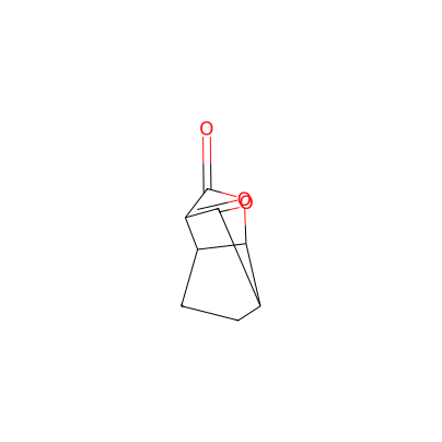 O=C1OC2C3CCC2C1C3=O